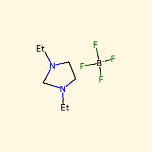 CCN1CCN(CC)C1.F[B-](F)(F)F